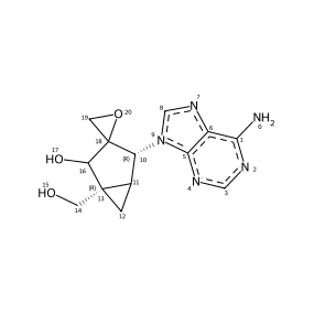 Nc1ncnc2c1ncn2[C@@H]1C2C[C@@]2(CO)C(O)C12CO2